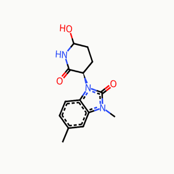 Cc1ccc2c(c1)n(C)c(=O)n2[C@@H]1CCC(O)NC1=O